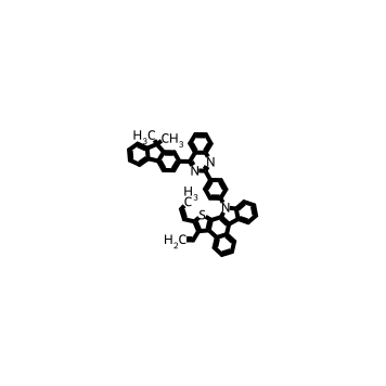 C=Cc1c(/C=C\C)sc2c1c1ccccc1c1c3ccccc3n(-c3ccc(-c4nc(-c5ccc6c(c5)C(C)(C)c5ccccc5-6)c5ccccc5n4)cc3)c21